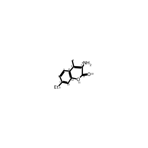 CCc1ccc2c(C)c(N)c(=O)oc2c1